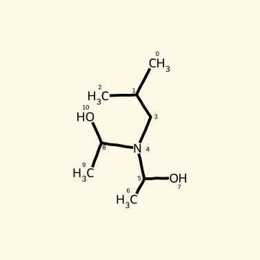 CC(C)CN(C(C)O)C(C)O